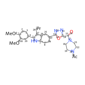 COc1ccc(-c2[nH]c3ccc(-c4nnc(C(=O)N5CCN(C(C)=O)CC5)o4)cc3c2C(C)C)cc1OC